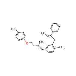 C/C=C(/Cc1cc(/C=C(\C)CCOc2ccc(C)cc2)ccc1C)c1ccccc1